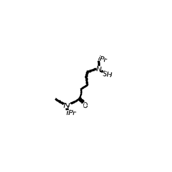 CC(C)N(S)CCCC(=O)N(C)C(C)C